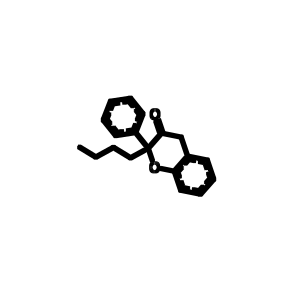 CCCCC1(c2ccccc2)Oc2ccccc2CC1=O